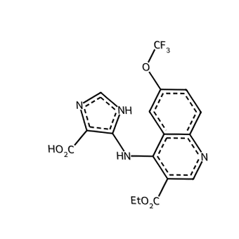 CCOC(=O)c1cnc2ccc(OC(F)(F)F)cc2c1Nc1[nH]cnc1C(=O)O